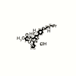 CC1=CC(=O)N(Nc2nc(-c3cccs3)nc3sc(-c4ccc(OCCNCC(C)C)cc4)c(C)c23)C1=O.Cl